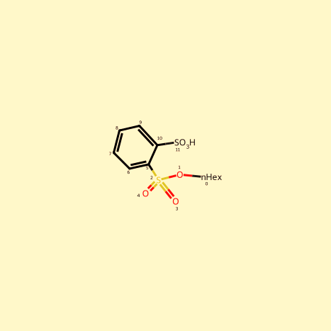 CCCCCCOS(=O)(=O)c1ccccc1S(=O)(=O)O